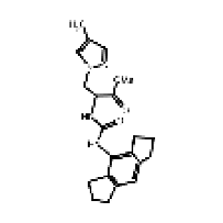 COC(=O)C(Cn1cc(C)cn1)NC(=O)Nc1c2c(cc3c1CCC3)CCC2